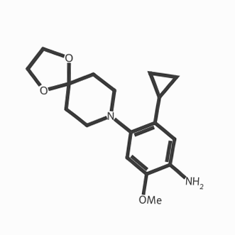 COc1cc(N2CCC3(CC2)OCCO3)c(C2CC2)cc1N